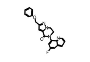 O=C1c2cc(COc3ccccc3)nn2CCN1c1cc(F)cc2cccnc12